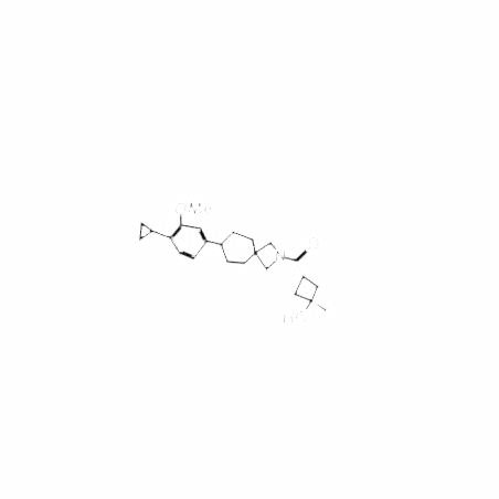 COc1cc(C2CCC3(CC2)CN(C(=O)[C@H]2C[C@@](C)(O)C2)C3)ccc1C1CC1